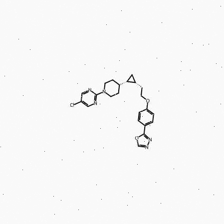 Clc1cnc(N2CCC([C@@H]3C[C@@H]3CCOc3ccc(-c4nnco4)cc3)CC2)nc1